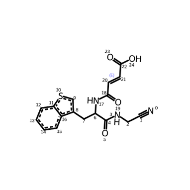 N#CCNC(=O)C(Cc1csc2ccccc12)NC(=O)/C=C/C(=O)O